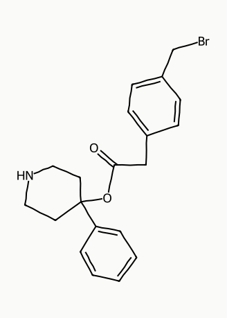 O=C(Cc1ccc(CBr)cc1)OC1(c2ccccc2)CCNCC1